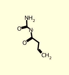 C=CCC(=O)[N]C(N)=O